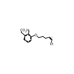 CC/C=C\CCCOc1cccc(CC(=O)O)c1C